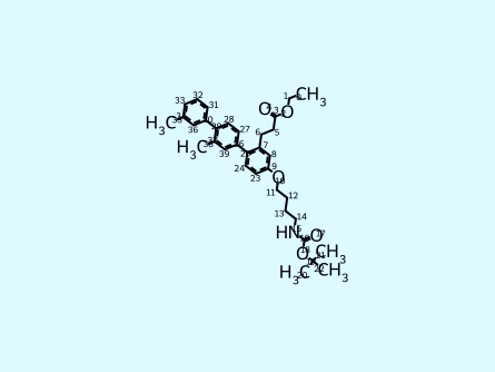 CCOC(=O)CCc1cc(OCCCCNC(=O)OC(C)(C)C)ccc1-c1ccc(-c2cccc(C)c2)c(C)c1